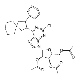 CC(=O)OC[C@H]1O[C@@H](n2cnc3c(N4CC5(CCCCC5)CC4c4ccccc4)nc(Cl)nc32)[C@H](OC(C)=O)[C@@H]1OC(C)=O